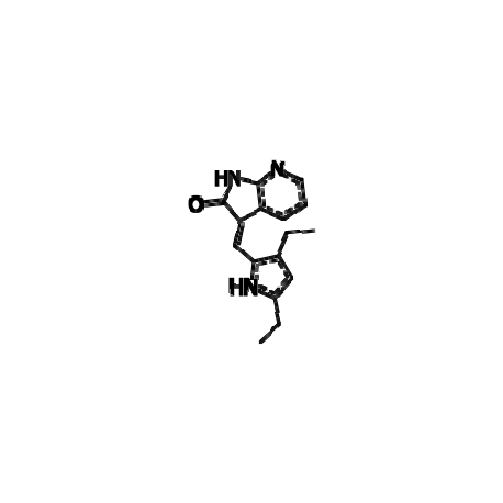 CCc1cc(CC)c(C=C2C(=O)Nc3ncccc32)[nH]1